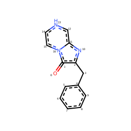 O=c1c(Cc2ccccc2)nc2c[nH]ccn1-2